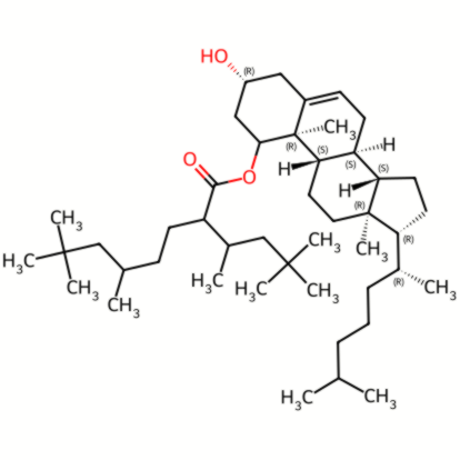 CC(C)CCC[C@@H](C)[C@H]1CC[C@H]2[C@@H]3CC=C4C[C@@H](O)CC(OC(=O)C(CCC(C)CC(C)(C)C)C(C)CC(C)(C)C)[C@]4(C)[C@H]3CC[C@]12C